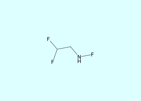 FNCC(F)F